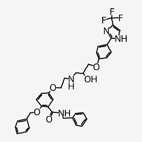 O=C(NCc1ccccc1)c1cc(OCCNCC(O)COc2ccc(-c3nc(C(F)(F)F)c[nH]3)cc2)ccc1OCc1ccccc1